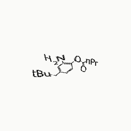 CCCC(=O)Oc1ccc(CC(C)(C)C)cc1N